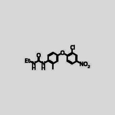 CCNC(=O)Nc1ccc(Oc2ccc([N+](=O)[O-])cc2Cl)cc1C